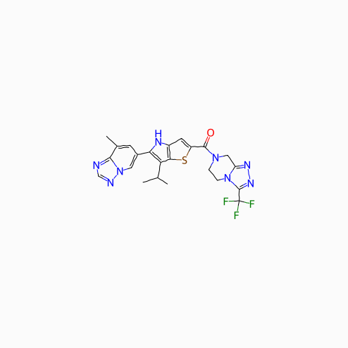 Cc1cc(-c2[nH]c3cc(C(=O)N4CCn5c(nnc5C(F)(F)F)C4)sc3c2C(C)C)cn2ncnc12